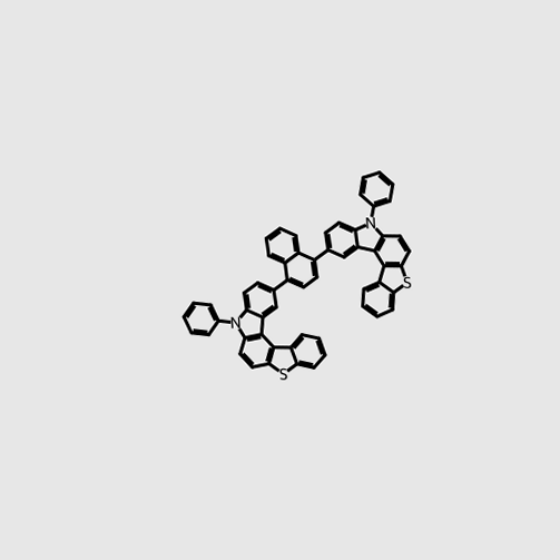 c1ccc(-n2c3ccc(-c4ccc(-c5ccc6c(c5)c5c7c(ccc5n6-c5ccccc5)sc5ccccc57)c5ccccc45)cc3c3c4c(ccc32)sc2ccccc24)cc1